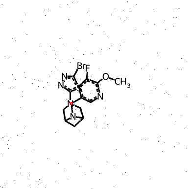 COc1ncc(CN2C3CC2CN(c2nnc(Br)s2)C3)cc1F